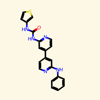 O=C(Nc1ccsc1)Nc1cc(-c2ccnc(Nc3ccccc3)c2)ccn1